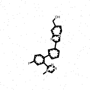 Cn1cnnc1-c1cc(F)ccc1-c1cccc(-c2cn3ccc(CO)cc3n2)c1